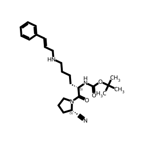 CC(C)(C)OC(=O)N[C@@H](CCCCNCC=Cc1ccccc1)C(=O)N1CCC[C@H]1C#N